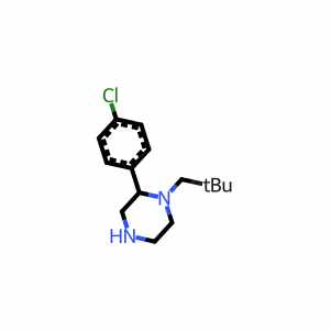 CC(C)(C)CN1CCNCC1c1ccc(Cl)cc1